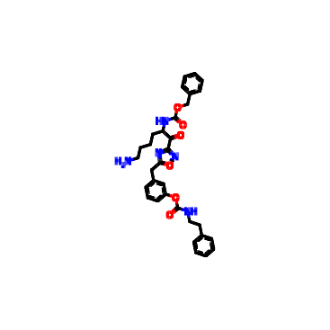 NCCCCC(NC(=O)OCc1ccccc1)C(=O)c1noc(Cc2cccc(OC(=O)NCCc3ccccc3)c2)n1